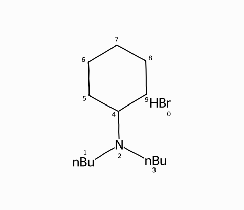 Br.CCCCN(CCCC)C1CCCCC1